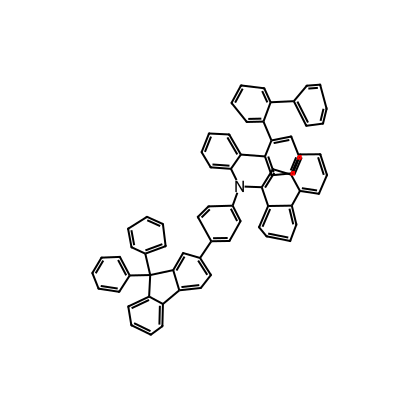 c1ccc(-c2ccccc2-c2ccccc2-c2ccccc2N(c2ccc(-c3ccc4c(c3)C(c3ccccc3)(c3ccccc3)c3ccccc3-4)cc2)c2cc3ccccc3c3ccccc23)cc1